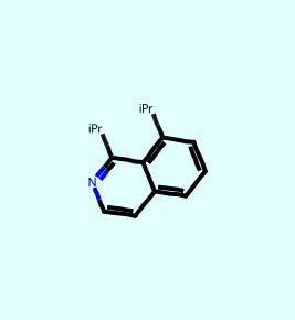 CC(C)c1cccc2ccnc(C(C)C)c12